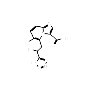 O=C(O)c1cnc2ccc(Cl)c(CC(O)c3nnn[nH]3)n12